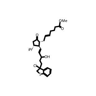 COC(=O)CCCC=CC[C@H]1C(=O)C[C@@H](C(C)C)[C@@H]1C=CC(O)CCC1(Cl)CSc2ccccc21